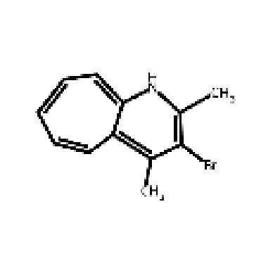 CC1=C(Br)C(C)=C2C=CC=CC=C2N1